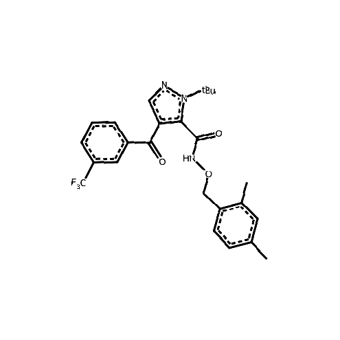 Cc1ccc(CONC(=O)c2c(C(=O)c3cccc(C(F)(F)F)c3)cnn2C(C)(C)C)c(C)c1